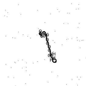 O=C(NCCOCCOCCOCCOCCNC(=O)c1cccc(N2C(=O)C=CC2=O)c1)OC[C@@H]1[C@@H]2CCC#CCC[C@@H]21